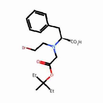 CCC(C)(CC)OC(=O)CN(CCBr)[C@@H](Cc1ccccc1)C(=O)O